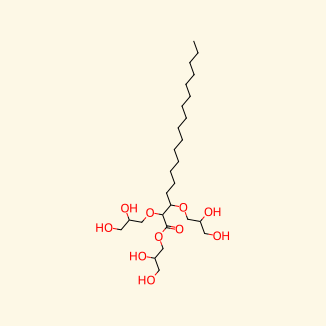 CCCCCCCCCCCCCCCC(OCC(O)CO)C(OCC(O)CO)C(=O)OCC(O)CO